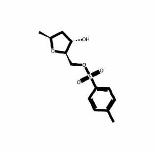 Cc1ccc(S(=O)(=O)OC[C@H]2O[C@@H](C)C[C@@H]2O)cc1